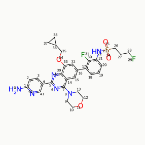 Nc1ccc(-c2nc(N3CCOCC3)c3cc(-c4cccc(NS(=O)(=O)CCCF)c4F)cc(OCC4CC4)c3n2)cn1